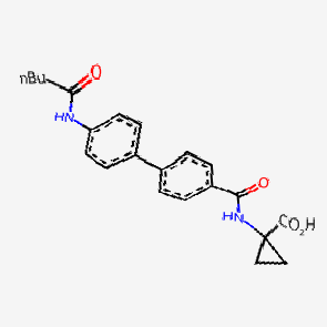 CCCCC(=O)Nc1ccc(-c2ccc(C(=O)NC3(C(=O)O)CC3)cc2)cc1